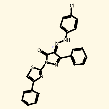 O=C1/C(=N/Nc2ccc(Cl)cc2)C(c2ccccc2)=NN1c1nc(-c2ccccc2)cs1